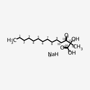 CCCCCCCCCCCC(=O)C(C)(O)C(=O)O.[NaH]